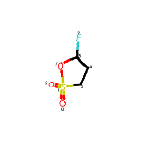 O=S1(=O)CCC(F)O1